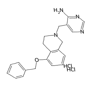 Cl.Cl.Nc1ncncc1CN1CCc2c(cccc2OCc2ccccc2)C1